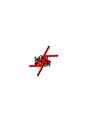 CCCCCCCCCCCCC(CCCCCCCCCC)Cn1c(=O)c2c3sc(=CC(C)C#N)sc3c3c(=O)n(CC(CCCCCCCCCC)CCCCCCCCCCCC)c(=O)c4c5sc(=C(C#N)c6ccc(C)s6)sc5c(c1=O)c2c34